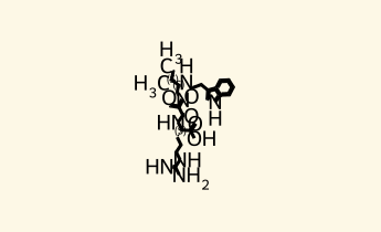 CC[C@H](C)[C@H](NC(=O)Cc1c[nH]c2ccccc12)c1nc(C(=O)N[C@@H](CCCNC(=N)N)C(=O)O)co1